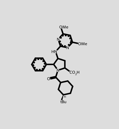 COc1cc(OC)nc(NC2CC(C(=O)O)N(C(=O)C3CCC[C@@H](C(C)(C)C)C3)C2c2ccccc2)n1